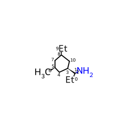 CCC(N)[C@H]1C[C@@H](C)C[C@@H](CC)C1